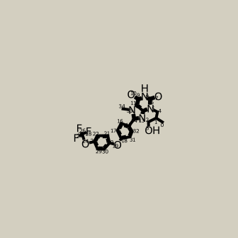 CC(CO)Cn1c(=O)[nH]c(=O)c2c1nc(-c1ccc(Oc3ccc(OC(F)(F)F)cc3)cc1)n2C